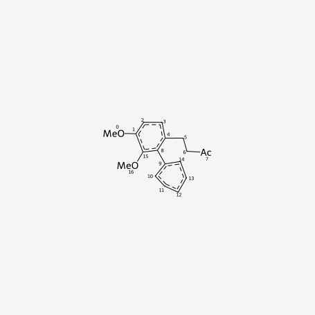 COc1ccc(CCC(C)=O)c(-c2ccccc2)c1OC